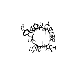 CC[C@H](C)[C@H]1NC(=O)[C@@H](N)[C@@H](C)OC(=O)[C@H](Cc2ccc(OC)cc2)N(C)C(=O)[C@@H]2CCCN2C(=O)[C@H](CC(C)C)NC(=O)[C@H](C(C)C)NC(=O)C[C@@H]1O